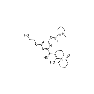 C[C@H](Oc1cc(OCCO)nc(C(=N)C2=C(O)[C@]3(CCCCC3=O)CCC2)n1)[C@@H]1CCCN1C